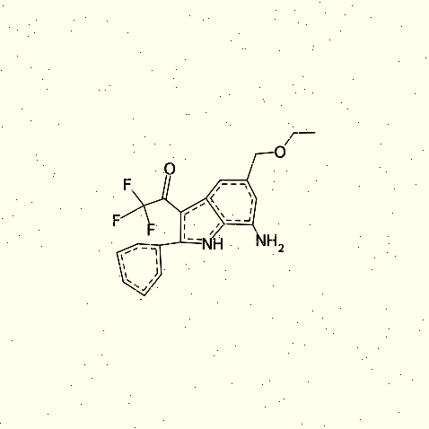 CCOCc1cc(N)c2[nH]c(-c3ccccc3)c(C(=O)C(F)(F)F)c2c1